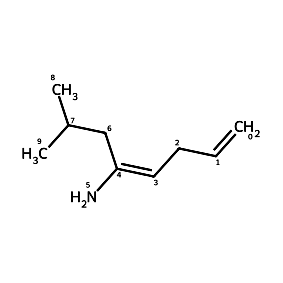 C=CC/C=C(/N)CC(C)C